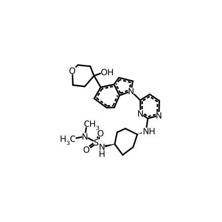 CN(C)S(=O)(=O)N[C@H]1CC[C@H](Nc2nccc(-n3ccc4c(C5(O)CCOCC5)cccc43)n2)CC1